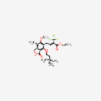 CCOC(=O)/C(=C/Cc1c(OC)c(C)c2c(c1OCC[Si](C)(C)C)C(=O)OC2)C(F)(F)F